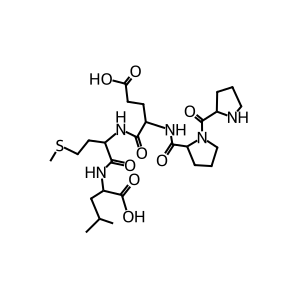 CSCCC(NC(=O)C(CCC(=O)O)NC(=O)C1CCCN1C(=O)C1CCCN1)C(=O)NC(CC(C)C)C(=O)O